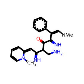 CN/C=C(\C(=N)C(=O)C(CN)C(=N)/C=C1/C=CC=CN1C)c1ccccc1